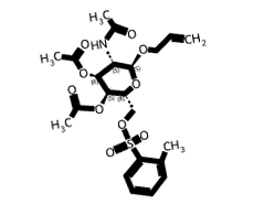 C=CCO[C@H]1O[C@H](COS(=O)(=O)c2ccccc2C)[C@@H](OC(C)=O)[C@H](OC(C)=O)[C@@H]1NC(C)=O